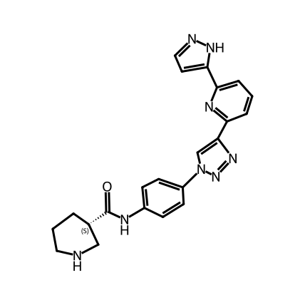 O=C(Nc1ccc(-n2cc(-c3cccc(-c4ccn[nH]4)n3)nn2)cc1)[C@H]1CCCNC1